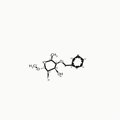 CO[C@@H]1O[C@@H](C)[C@@H](OCc2ccccc2)[C@@H](O)[C@H]1F